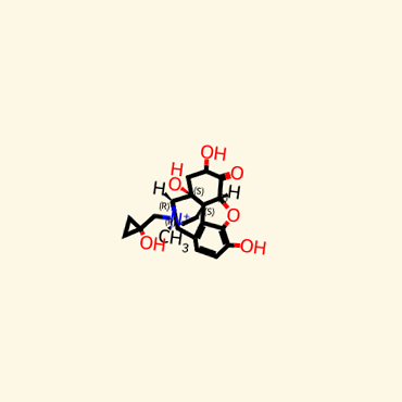 C[N@+]1(CC2(O)CC2)CC[C@]23c4c5ccc(O)c4O[C@H]2C(=O)C(O)C[C@@]3(O)[C@H]1C5